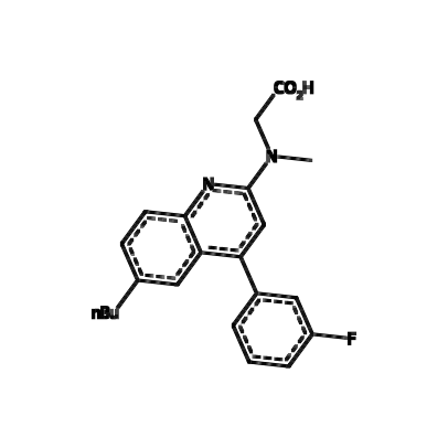 CCCCc1ccc2nc(N(C)CC(=O)O)cc(-c3cccc(F)c3)c2c1